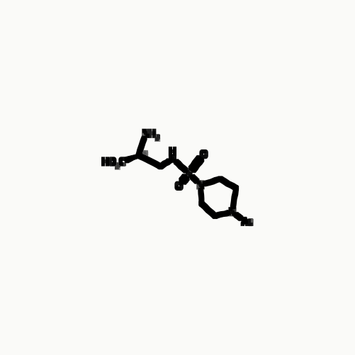 CC(=O)N1CCN(S(=O)(=O)NC[C@H](N)C(=O)O)CC1